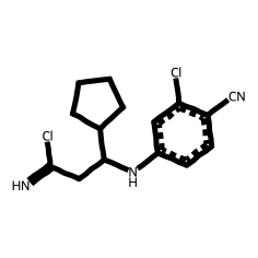 N#Cc1ccc(NC(CC(=N)Cl)C2CCCC2)cc1Cl